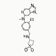 CCc1cc(CNC2CCS(=O)(=O)C2)ccc1N(C)c1cc2c(cn1)ncn2C